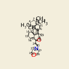 CC1(C)CCC(C)(C)c2cc(C3(c4ccccc4C(=O)C=CN4CCOCC4)CC3)ccc21